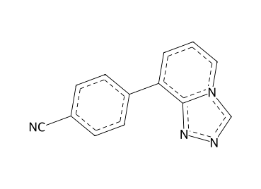 N#Cc1ccc(-c2cccn3cnnc23)cc1